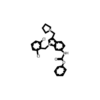 O=C(Nc1ccc2c(CN3CCCC3)cn(Cc3c(Cl)cccc3Cl)c2c1)Oc1ccccc1